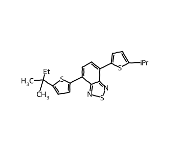 CCC(C)(C)c1ccc(-c2ccc(-c3ccc(C(C)C)s3)c3nsnc23)s1